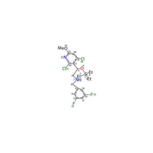 CC[Si](CC)(CC)OC(CNCc1cc(F)cc(F)c1)c1c(Cl)cc(OC)nc1Cl